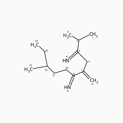 C=C(CC(=N)C(C)C)C(=N)CCC(C)CC